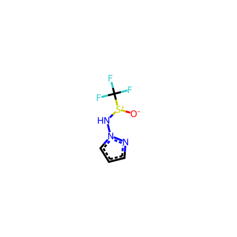 [O-][S+](Nn1cccn1)C(F)(F)F